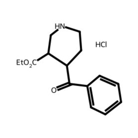 CCOC(=O)C1CNCCC1C(=O)c1ccccc1.Cl